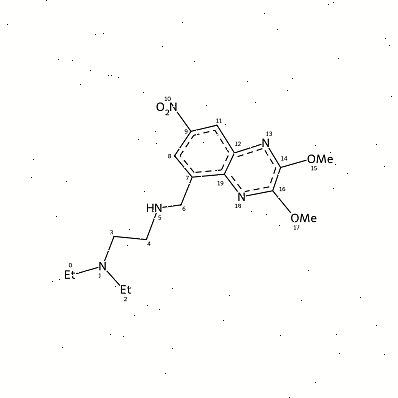 CCN(CC)CCNCc1cc([N+](=O)[O-])cc2nc(OC)c(OC)nc12